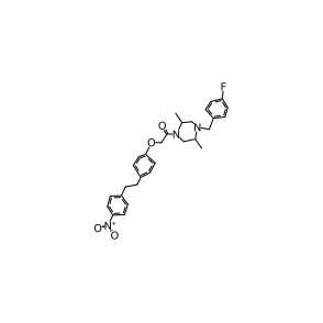 CC1CN(C(=O)COc2ccc(CCc3ccc([N+](=O)[O-])cc3)cc2)C(C)CN1Cc1ccc(F)cc1